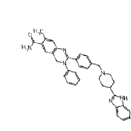 Cc1cc2c(cc1C(N)=O)CN(c1ccccc1)C(c1ccc(CN3CCC(c4nc5ccccc5[nH]4)CC3)cc1)=N2